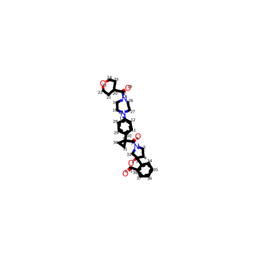 O=C1OC2(CCN(C(=O)C3(c4ccc(N5CCN(C(=O)C6CCOCC6)CC5)cc4)CC3)C2)c2ccccc21